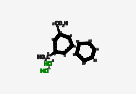 Cl.Cl.O=C(O)c1cccc(C(=O)O)c1.c1ccccc1